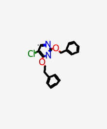 Clc1[c]nc(OCc2ccccc2)nc1OCCc1ccccc1